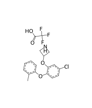 Cc1ccccc1Oc1ccc(Cl)cc1OC1CNC1.O=C(O)C(F)(F)F